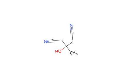 CC(O)(CC#N)CC#N